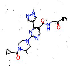 CC(C)C(=O)CNC(=O)c1cnc(N2CCN(C(=O)C3CC3)C(C)C2)nc1-c1cnn(C)c1